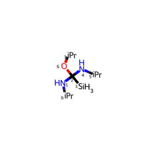 CC(C)NC([SiH3])(NC(C)C)OC(C)C